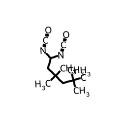 CC(C)(C)CC(C)(C)CC(N=C=O)N=C=O